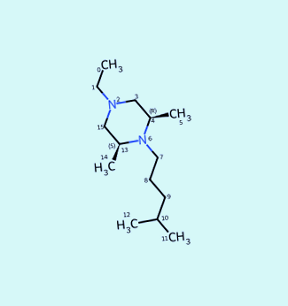 CCN1C[C@@H](C)N(CCCC(C)C)[C@@H](C)C1